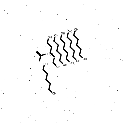 C=C(C)C(=O)O.OCCCCCO.OCCCCCO.OCCCCCO.OCCCCCO.OCCCCCO.OCCCCCO